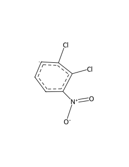 O=[N+]([O-])c1cc[c]c(Cl)c1Cl